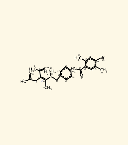 C=C(C)/C(CC(=O)O)=C(/C)N(N)Cc1ccc(NC(=O)c2cc(C)c(Br)cc2C)cc1